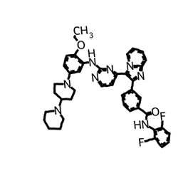 CCOc1ccc(N2CCC(N3CCCCC3)CC2)cc1Nc1nccc(-c2c(-c3cccc(C(=O)Nc4c(F)cccc4F)c3)nc3ccccn23)n1